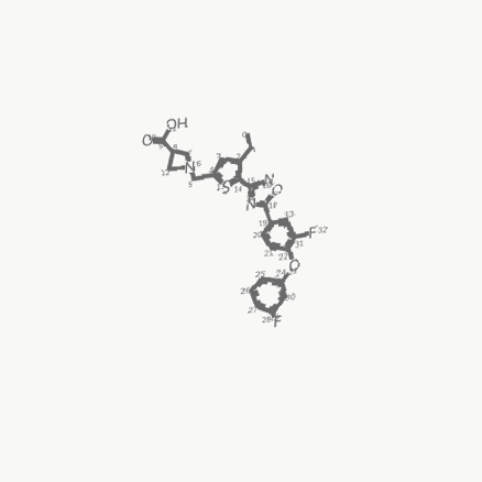 CCc1cc(CN2CC(C(=O)O)C2)sc1-c1noc(-c2ccc(Oc3cccc(F)c3)c(F)c2)n1